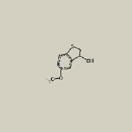 COc1ccc2c(c1)C(O)CS2